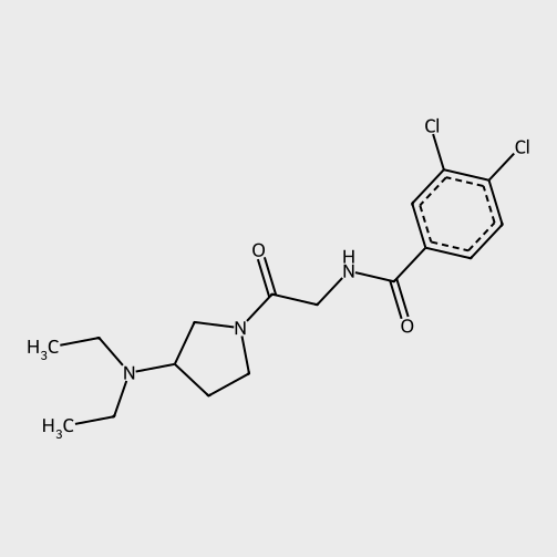 CCN(CC)C1CCN(C(=O)CNC(=O)c2ccc(Cl)c(Cl)c2)C1